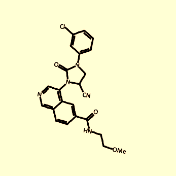 COCCNC(=O)c1ccc2cncc(N3C(=O)N(c4cccc(Cl)c4)CC3C#N)c2c1